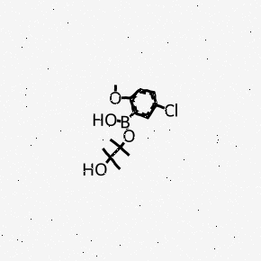 COc1ccc(Cl)cc1B(O)OC(C)(C)C(C)(C)O